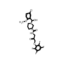 COc1ccc(Cl)cc1C(O)N1CCC[C@H](C(=O)NCC(=O)COc2c(F)c(F)cc(F)c2F)C1